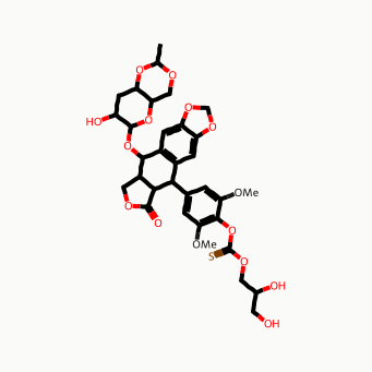 COc1cc(C2c3cc4c(cc3C(OC3OC5COC(C)OC5CC3O)C3COC(=O)C23)OCO4)cc(OC)c1OC(=S)OCC(O)CO